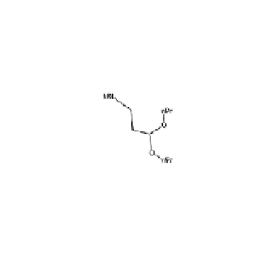 CCCOC(CC[NH])OCCC